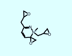 C[N+]1(CC2CO2)N=C(CC2CO2)C=CC12CO2